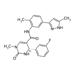 Cc1cc(-c2ccc(C)c(NC(=O)C3=CN(C)C(=O)N[C@H]3c3cccc(F)c3)c2)n[nH]1